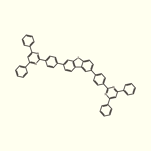 c1ccc(-c2cc(-c3ccccc3)nc(-c3ccc(-c4ccc5c(c4)sc4ccc(-c6ccc(-c7nc(-c8ccccc8)cc(-c8ccccc8)n7)cc6)cc45)cc3)n2)cc1